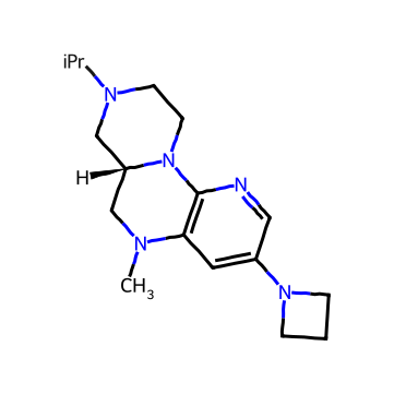 CC(C)N1CCN2c3ncc(N4CCC4)cc3N(C)C[C@@H]2C1